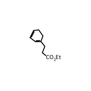 CCOC(=O)CCC1=CC=CCC1